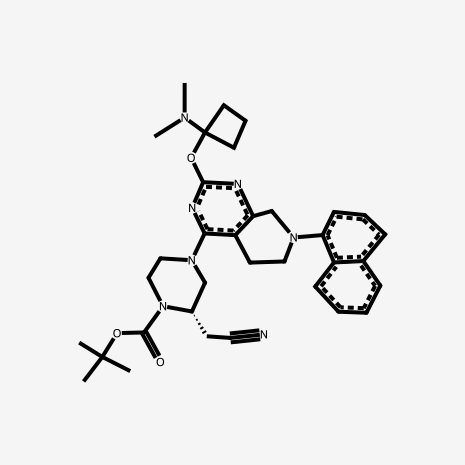 CN(C)C1(Oc2nc3c(c(N4CCN(C(=O)OC(C)(C)C)[C@@H](CC#N)C4)n2)CCN(c2cccc4ccccc24)C3)CCC1